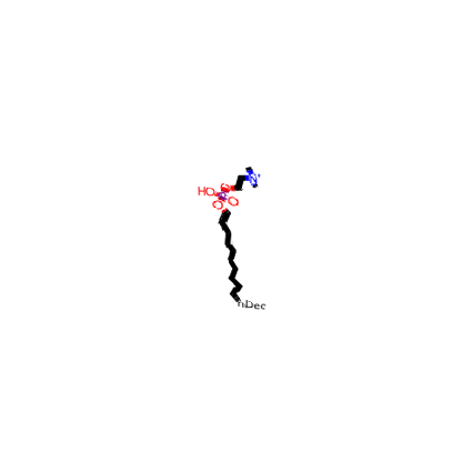 CCCCCCCCCCCCCCCCCCCCOP(=O)(O)OCC[N+](C)(C)C